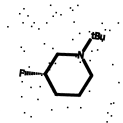 CC(C)(C)N1CCC[C@H](F)C1